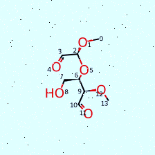 CO[C@H](C=O)O[C@H](CO)[C@H](C=O)OC